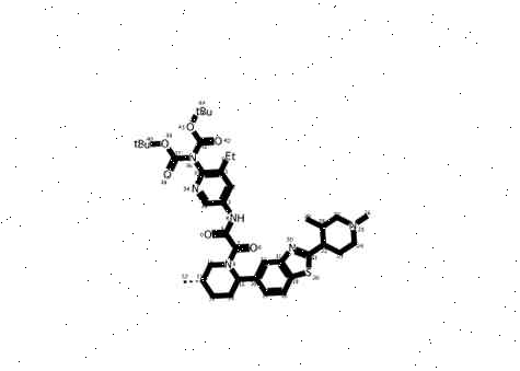 CCc1cc(NC(=O)C(=O)N2C[C@@H](C)CCC2c2ccc3sc(C4CCN(C)CC4C)nc3c2)cnc1N(C(=O)OC(C)(C)C)C(=O)OC(C)(C)C